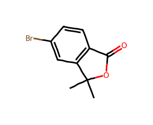 CC1(C)OC(=O)c2ccc(Br)cc21